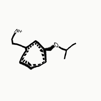 CC(C)Oc1cccc(C[NH])c1